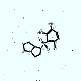 Nc1ccc(Cl)c(S(=O)(=O)[C@H]2CCN3CCCC23)c1O